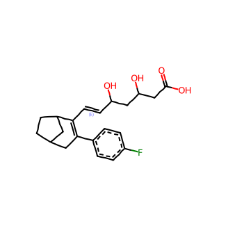 O=C(O)CC(O)CC(O)/C=C/C1=C(c2ccc(F)cc2)CC2CCC1C2